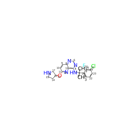 CC(C)(Nc1ncnc2ccc(O[C@H]3CCNC3)nc12)c1cccc(Cl)c1F